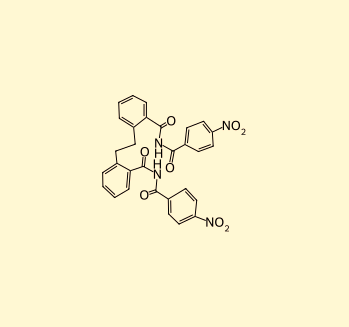 O=C(NC(=O)c1ccccc1CCc1ccccc1C(=O)NC(=O)c1ccc([N+](=O)[O-])cc1)c1ccc([N+](=O)[O-])cc1